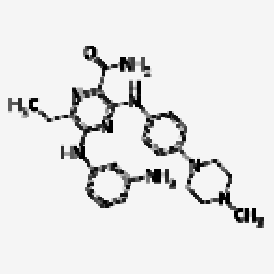 CCc1nc(C(N)=O)c(Nc2ccc(N3CCN(C)CC3)cc2)nc1Nc1cccc(N)c1